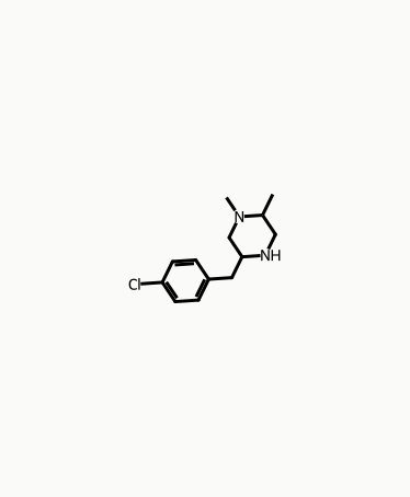 CC1CNC(Cc2ccc(Cl)cc2)CN1C